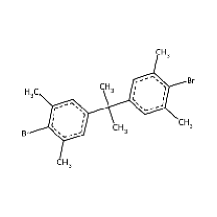 Cc1cc(C(C)(C)c2cc(C)c(Br)c(C)c2)cc(C)c1Br